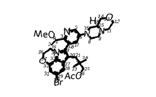 CO[C@@H](C)c1ncc(N2CCN3CCOC[C@@H]3C2)cc1-c1c(CC(C)(C)COC(C)=O)c2cc(Br)cc3c2n1CCO3